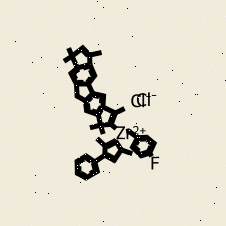 CC1=CC(C)(C)c2cc3c(cc21)-c1cc2c(cc1C3)C(C)(C)[C]([Zr+2](=[CH]c1ccc(F)cc1)[C]1=C(C)C(c3ccccc3)=CC1C)=C2C.[Cl-].[Cl-]